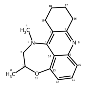 CC1CN(C)c2c3c(nc4cccc(c24)O1)CCCC3